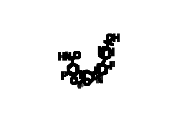 CNC(=O)c1cc(F)c2c(c1)N(Cc1c(C)nc3cc(F)c(-c4cnc(C(C)(C)O)nc4)cn13)C(=O)[C@@H](C)O2